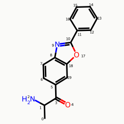 CC(N)C(=O)c1ccc2nc(-c3ccccc3)oc2c1